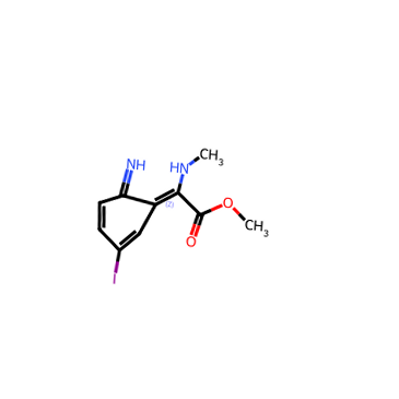 CN/C(C(=O)OC)=C1/C=C(I)C=CC1=N